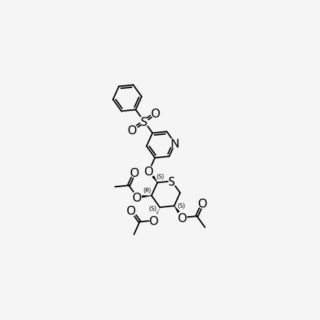 CC(=O)O[C@@H]1[C@@H](OC(C)=O)[C@@H](Oc2cncc(S(=O)(=O)c3ccccc3)c2)SC[C@H]1OC(C)=O